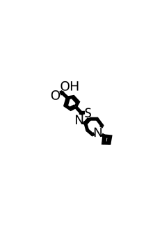 O=C(O)c1ccc(-c2nc3c(s2)CCN(C2=CC=C2)CC3)cc1